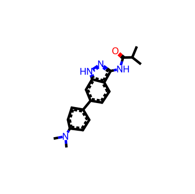 CC(C)C(=O)Nc1n[nH]c2cc(-c3ccc(N(C)C)cc3)ccc12